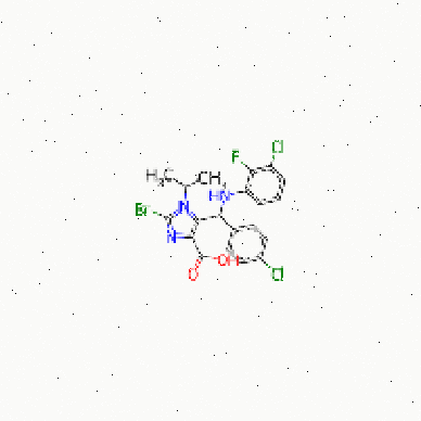 CC(C)n1c(Br)nc(C(=O)O)c1C(Nc1cccc(Cl)c1F)c1ccc(Cl)cc1